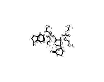 CCOP(=S)(OCC)SC1OCCOC1SP(=S)(OCC)OCC.O=C1CCCCC1.c1ccc2c(c1)CCN2